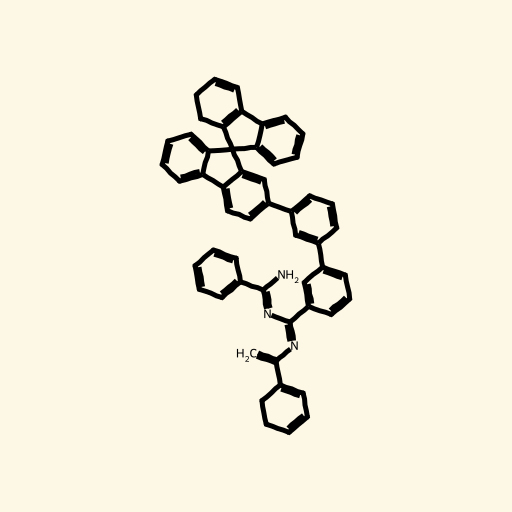 C=C(/N=C(\N=C(/N)c1ccccc1)c1cccc(-c2cccc(-c3ccc4c(c3)C3(C5=C(C=CCC5)c5ccccc53)c3ccccc3-4)c2)c1)C1=CC=CCC1